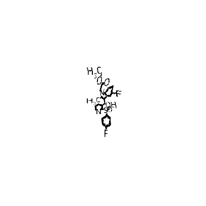 CCOC(=O)Cn1c(C)c(C(O)c2cccnc2[S+]([O-])c2ccc(F)cc2)c2cc(F)ccc21